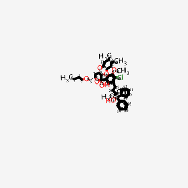 CCCCOC[C@@H]1C[C@H](OCCCC)[C@@H](OCCCC)[C@@](O)(c2cc(CCC(C)(C)[Si](O)(c3ccccc3)c3ccccc3)c(Cl)c(OC)c2)O1